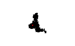 Cc1ccc(/C=C/c2nc3nc(N4CCCC(N)C4)n(Cc4ccccc4)c3c(=O)n2C)cc1